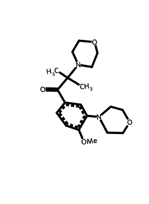 COc1ccc(C(=O)C(C)(C)N2CCOCC2)cc1N1CCOCC1